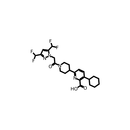 O=C(O)c1nc(C2CCN(C(=O)Cn3nc(C(F)F)cc3C(F)F)CC2)ccc1C1CCCCC1